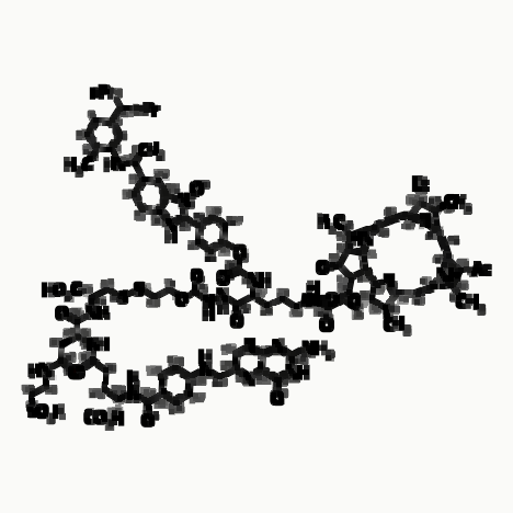 C=C(Nc1cc(C(CCC)CCC)ccc1C)c1ccc2[nH]c(-c3ccc(OC(=O)NC(CCCNC(=O)CC[C@@H]4c5nc(cc6[nH]c(cc7nc(cc8[nH]c9c(c8C)C(=O)C(C(=O)OC)c59)[C@H](CC)[C@H]7C)c(C(C)=O)c6C)[C@H]4C)C(=O)NNC(=O)OCCSSC[C@H](NC(=O)[C@H](CC(=O)NCCS(=O)(=O)O)NC(=O)CC[C@H](NC(=O)c4ccc(NCc5cnc6nc(N)[nH]c(=O)c6n5)cc4)C(=O)O)C(=O)O)cc3)[n+]([O-])c2c1